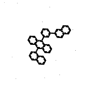 c1cc(-c2ccc3ccccc3c2)cc(-c2c3ccccc3c(-c3cccc4ccccc34)c3ccccc23)c1